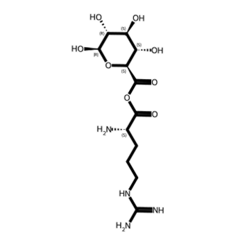 N=C(N)NCCC[C@H](N)C(=O)OC(=O)[C@H]1O[C@@H](O)[C@H](O)[C@@H](O)[C@@H]1O